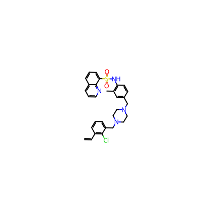 C=Cc1cccc(CN2CCN(Cc3ccc(NS(=O)(=O)c4cccc5cccnc45)c(C)c3)CC2)c1Cl